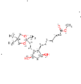 COC(=O)C=CCCCC[C@@H]1[C@@H](CCC2(C)OCC(C)(C)CO2)[C@H](O)C[C@@H]1O